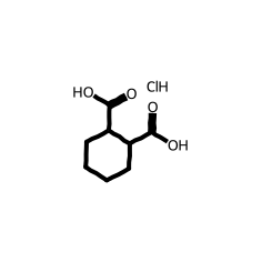 Cl.O=C(O)C1CCCCC1C(=O)O